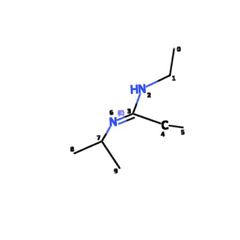 CCN/C(CC)=N/C(C)C